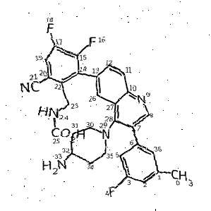 Cc1cc(F)cc(-c2cnc3ccc(-c4c(F)c(F)cc(C#N)c4CNC(=O)O)cc3c2N2CCC(N)CC2)c1